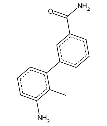 Cc1c(N)cccc1-c1cccc(C(N)=O)c1